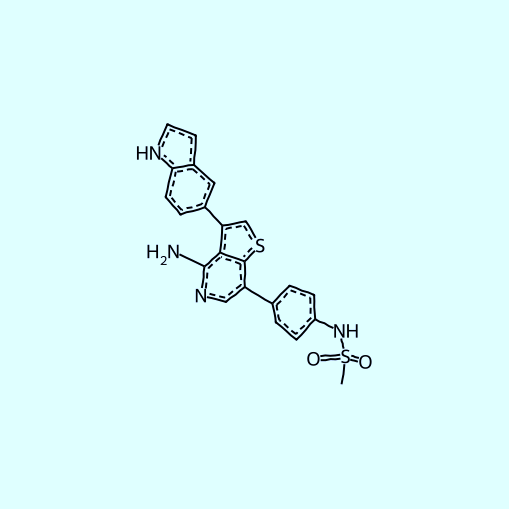 CS(=O)(=O)Nc1ccc(-c2cnc(N)c3c(-c4ccc5[nH]ccc5c4)csc23)cc1